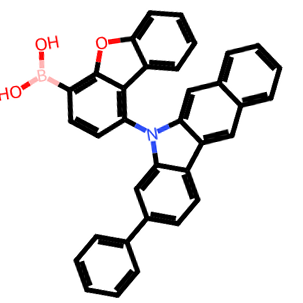 OB(O)c1ccc(-n2c3cc(-c4ccccc4)ccc3c3cc4ccccc4cc32)c2c1oc1ccccc12